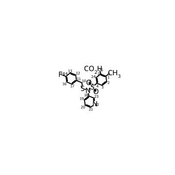 Cc1ccc(S(=O)(=O)N(SCc2ccc(F)cc2)c2cccnc2)cc1C(=O)O